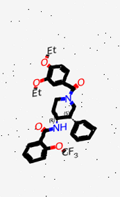 CCOc1ccc(C(=O)N2CC[C@@H](NC(=O)c3ccccc3OC(F)(F)F)[C@@H](c3ccccc3)C2)cc1OCC